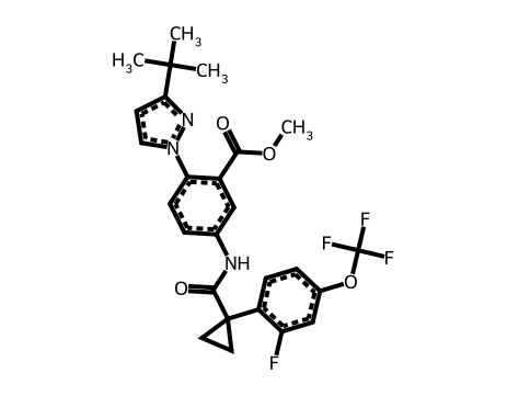 COC(=O)c1cc(NC(=O)C2(c3ccc(OC(F)(F)F)cc3F)CC2)ccc1-n1ccc(C(C)(C)C)n1